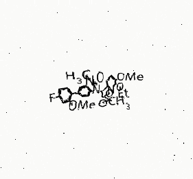 CCOc1nc(C(CS(C)(=O)=O)n2c(=O)n(C)c3cc(-c4ccc(F)cc4OC)ccc32)ccc1OC